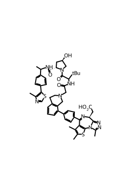 Cc1ncsc1-c1ccc(C(C)NC(=O)[C@@H]2C[C@@H](O)CN2C(=O)C(NC(=O)CN2CCc3cccc(-c4ccc(C5=N[C@@H](CC(=O)O)c6nnc(C)n6-c6sc(C)c(C)c65)cc4)c3C2)C(C)(C)C)cc1